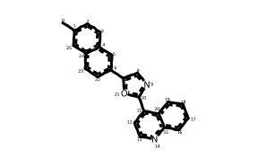 Cc1ccc2cc(-c3cnc(-c4ccnc5ccccc45)o3)ccc2c1